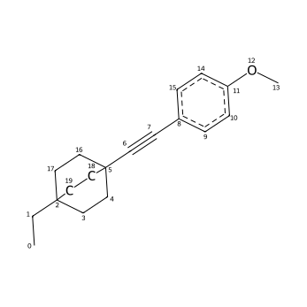 CCC12CCC(C#Cc3ccc(OC)cc3)(CC1)CC2